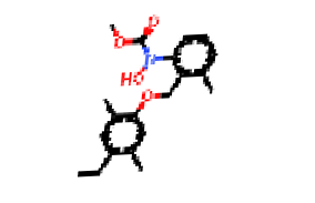 CCc1cc(C)c(OCc2c(C)cccc2N(O)C(=O)OC)cc1C